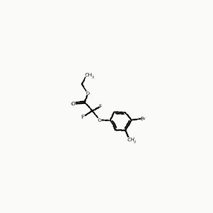 CCOC(=O)C(F)(F)Oc1ccc(Br)c(C)c1